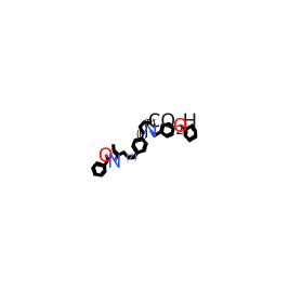 Cc1oc(-c2ccccc2)nc1C/C=C\c1ccc([C@H]2CC[C@H](C(=O)O)N2Cc2ccc(Oc3ccccc3)cc2)cc1